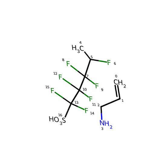 C=CCN.CC(F)C(F)(F)C(F)(F)C(F)(F)S(=O)(=O)O